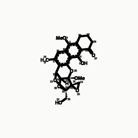 COc1c2c(c(O)c3c4c(c(C)cc13)C1O[C@]3(CO)O[C@H]1[C@@](OC)(O4)[C@@]31CO1)C(=O)CCC2